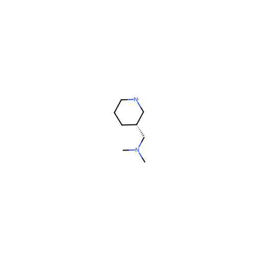 CN(C)C[C@@H]1CCC[N]C1